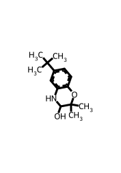 CC(C)(C)c1ccc2c(c1)NC(O)C(C)(C)O2